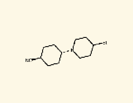 CCC1CCN([C@H]2CC[C@H](C#N)CC2)CC1